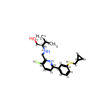 CC(C)[C@H](CO)NCc1nc(-c2cccc(SCC3CC3)c2)ccc1F